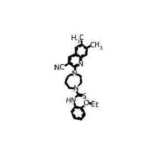 CCOc1ccccc1NC(=S)N1CCCN(c2nc3cc(C)c(C)cc3cc2C#N)CC1